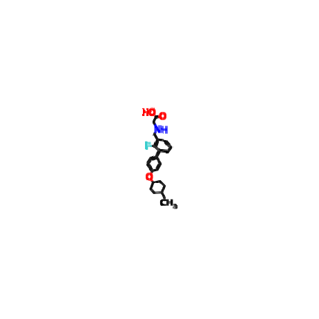 CCC1CCC(Oc2ccc(-c3cccc(CNCC(=O)O)c3F)cc2)CC1